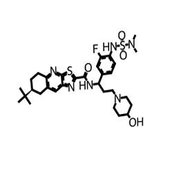 CN(C)S(=O)(=O)Nc1ccc(C(CCN2CCC(O)CC2)NC(=O)c2nc3cc4c(nc3s2)CC[C@H](C(C)(C)C)C4)cc1F